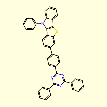 c1ccc(-c2nc(-c3ccccc3)nc(-c3ccc(-c4ccc5c(c4)sc4c6ccccc6n(-c6ccccc6)c54)cc3)n2)cc1